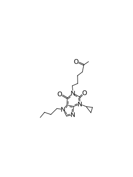 CCCCn1cnc2c1c(=O)n(CCCCC(C)=O)c(=O)n2C1CC1